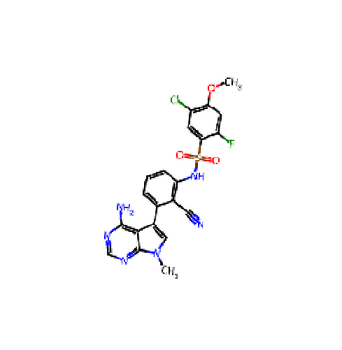 COc1cc(F)c(S(=O)(=O)Nc2cccc(-c3cn(C)c4ncnc(N)c34)c2C#N)cc1Cl